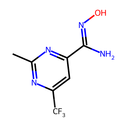 Cc1nc(C(N)=NO)cc(C(F)(F)F)n1